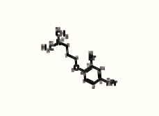 CCCc1ccc(OCCCN(C)C)c(Br)c1